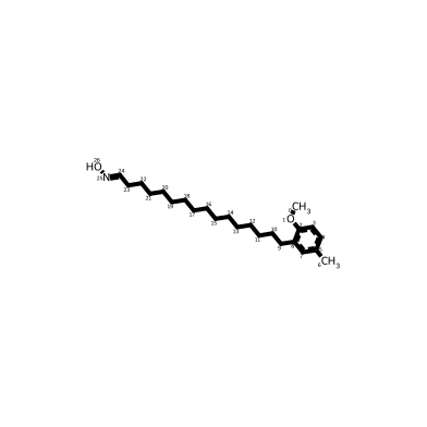 COc1ccc(C)cc1CCCCCCCCCCCCCCCC=NO